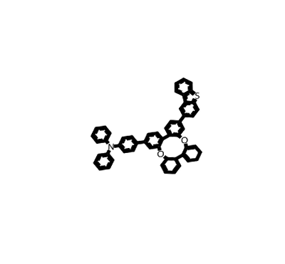 C1=CC2Oc3cc(-c4ccc(N(c5ccccc5)c5ccccc5)cc4)ccc3-c3ccc(-c4ccc5sc6ccccc6c5c4)cc3OC3=CCCC=C3C2C=C1